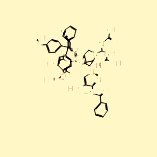 COc1ccc(C(OC[C@@]23CN(C(NC(=O)O)NC(=O)O)[C@@H]([C@H](n4cc(C)c(NC(=O)c5ccccc5)nc4=O)O2)[C@@H]3OP(OCCC#N)N(C(C)C)C(C)C)(c2ccccc2)c2ccc(OC)cc2)cc1